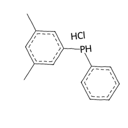 Cc1cc(C)cc(Pc2ccccc2)c1.Cl